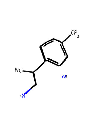 [N].[N]CC(C#N)c1ccc(C(F)(F)F)cc1